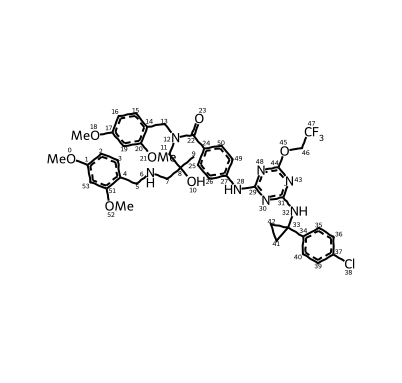 COc1ccc(CNCC(C)(O)CN(Cc2ccc(OC)cc2OC)C(=O)c2ccc(Nc3nc(NC4(c5ccc(Cl)cc5)CC4)nc(OCC(F)(F)F)n3)cc2)c(OC)c1